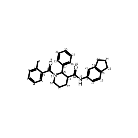 Cc1ccccc1C(=O)N1CCCC(C(=O)Nc2ccc3c(c2)CCC3)C1c1ccccc1